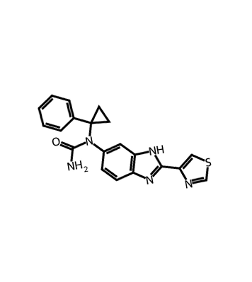 NC(=O)N(c1ccc2nc(-c3cscn3)[nH]c2c1)C1(c2ccccc2)CC1